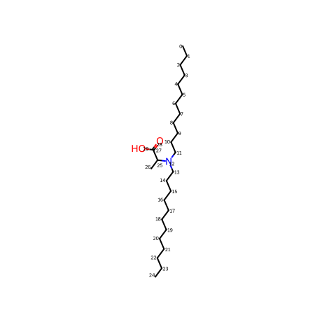 CCCCCCCCCCCCN(CCCCCCCCCCCC)C(C)C(=O)O